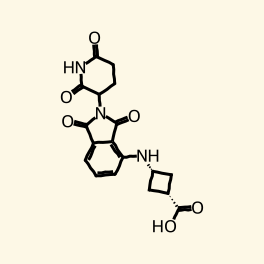 O=C1CCC(N2C(=O)c3cccc(N[C@H]4C[C@@H](C(=O)O)C4)c3C2=O)C(=O)N1